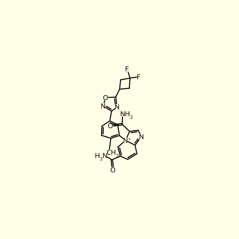 Cc1ccc(-c2noc(C3CC(F)(F)C3)n2)cc1[N+]12C=C(C(N)=O)C=CC1=NC=C2C(N)=O